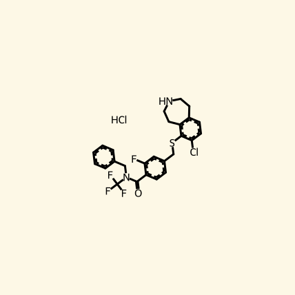 Cl.O=C(c1ccc(CSc2c(Cl)ccc3c2CCNCC3)cc1F)N(Cc1ccccc1)C(F)(F)F